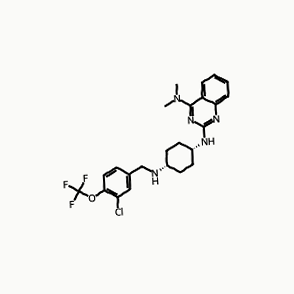 CN(C)c1nc(N[C@H]2CC[C@@H](NCc3ccc(OC(F)(F)F)c(Cl)c3)CC2)nc2ccccc12